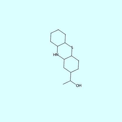 CC(O)C1CCC2SC3CCCCC3NC2C1